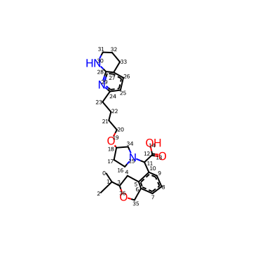 CC(C)C1Cc2c(cccc2C(C(=O)O)N2CC[C@@H](OCCCCc3ccc4c(n3)NCCC4)C2)CO1